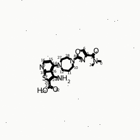 CN(C)C(=O)c1coc(N2CCCN(c3ccnc4sc(C(=O)O)c(N)c34)CC2)n1